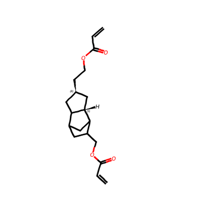 C=CC(=O)OCC[C@@H]1CC2C3CC(COC(=O)C=C)C(C3)[C@H]2C1